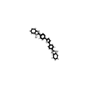 c1cc(-c2ccc(-c3ccc(C4=NC5CCCCC5N4)cc3)o2)ccc1C1=NC2CCCCC2N1